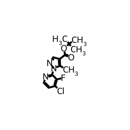 Cc1c(C(=O)OC(C)(C)C)cnn1-c1nccc(Cl)c1F